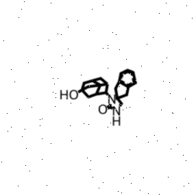 O=C1NCC2(Cc3ccccc3C2)N1C1C2CC3CC1CC(O)(C3)C2